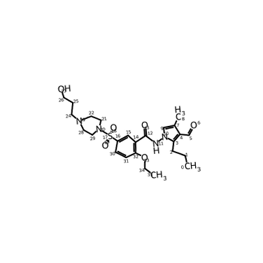 CCCc1c(C=O)c(C)cn1NC(=O)c1cc(S(=O)(=O)N2CCN(CCCO)CC2)ccc1OCC